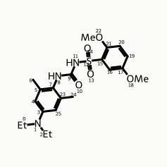 CCN(CC)c1cc(C)c(NC(=O)NS(=O)(=O)c2cc(OC)ccc2OC)c(C)c1